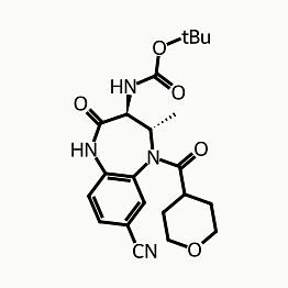 C[C@H]1[C@H](NC(=O)OC(C)(C)C)C(=O)Nc2ccc(C#N)cc2N1C(=O)C1CCOCC1